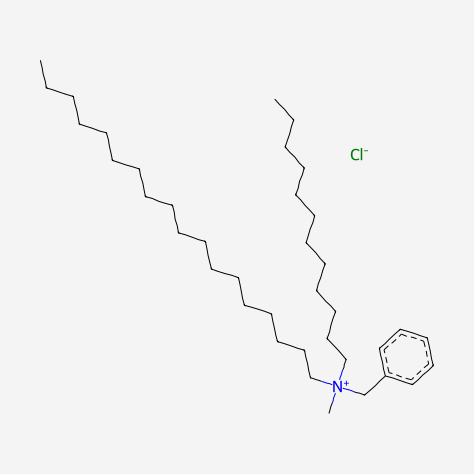 CCCCCCCCCCCCCCCCCC[N+](C)(CCCCCCCCCCCC)Cc1ccccc1.[Cl-]